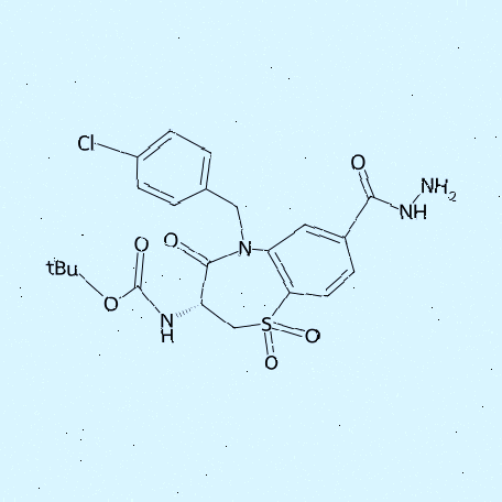 CC(C)(C)OC(=O)N[C@H]1CS(=O)(=O)c2ccc(C(=O)NN)cc2N(Cc2ccc(Cl)cc2)C1=O